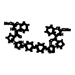 COC(=O)NC(C(=O)N1CCC[C@H]1c1nnc(-c2ccc(-c3ccc(-c4nnc([C@@H]5CCCN5C(=O)[C@H](NC(=O)OC)c5ccccc5)[nH]4)cc3)cc2)[nH]1)c1ccccc1